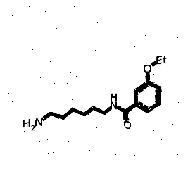 CCOc1cccc(C(=O)NCCCCCCN)c1